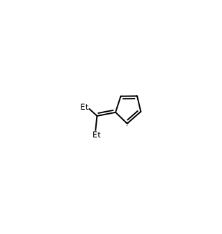 CCC(CC)=C1[C]=CC=C1